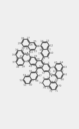 C1=C(N(c2ccc3c(-c4ccc5ccccc5c4)c4cc(N(c5cccc6ccccc56)c5cccc6ccccc56)ccc4c(-c4ccc5ccccc5c4)c3c2)c2cccc3ccccc23)c2ccccc2CC1